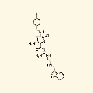 N/C(=N\C(=O)c1nc(Cl)c(NCc2ccc(I)cc2)nc1N)NCCNCc1coc2ccccc12